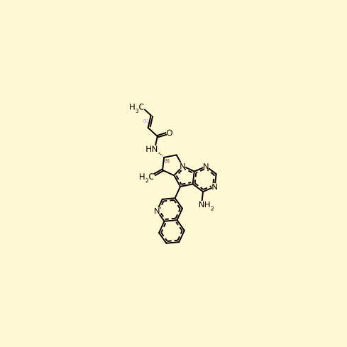 C=C1c2c(-c3cnc4ccccc4c3)c3c(N)ncnc3n2C[C@H]1NC(=O)/C=C/C